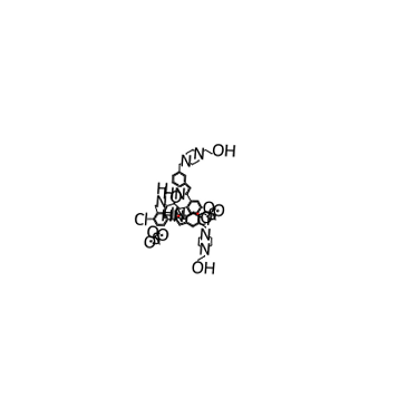 CS(=O)(=O)Oc1cc(-c2cc3cc(CN4CCN(CCO)CC4)ccc3[nH]2)c2c(c1Cl)CNC2C(=O)C1NCc2c(Cl)c(OS(C)(=O)=O)cc(-c3cc4cc(CN5CCN(CCO)CC5)ccc4[nH]3)c21